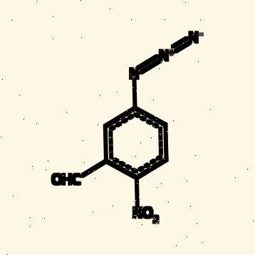 [N-]=[N+]=Nc1ccc([N+](=O)[O-])c(C=O)c1